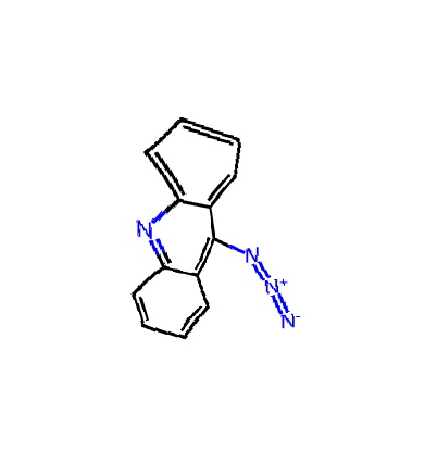 [N-]=[N+]=Nc1c2ccccc2nc2ccccc12